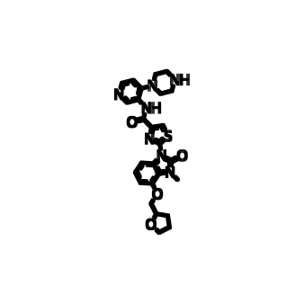 Cn1c(=O)n(-c2nc(C(=O)Nc3cnccc3N3CCNCC3)cs2)c2cccc(OCC3CCCO3)c21